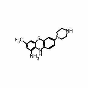 Nc1cc(C(F)(F)F)cc2c1Nc1ccc(N3CCNCC3)cc1S2